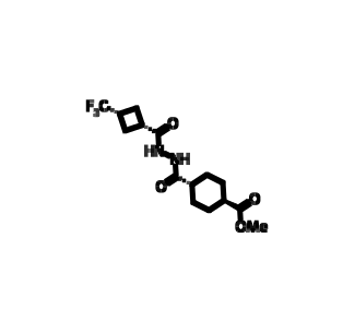 COC(=O)[C@H]1CC[C@H](C(=O)NNC(=O)[C@H]2C[C@@H](C(F)(F)F)C2)CC1